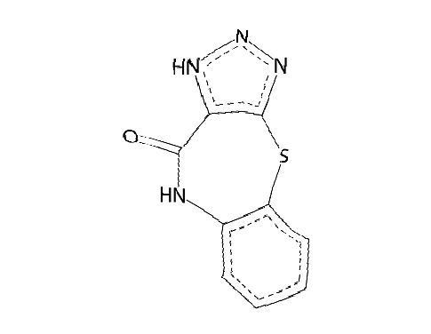 O=C1Nc2ccccc2Sc2nn[nH]c21